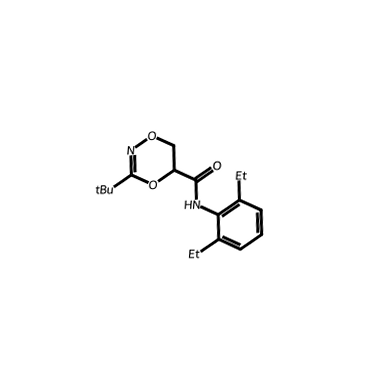 CCc1cccc(CC)c1NC(=O)C1CON=C(C(C)(C)C)O1